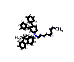 C/C=C\C=C/CC/C=C/N(c1ccc(-c2ccccc2)c(-c2ccccc2)c1)c1ccc2c(c1)C(C)(C)c1ccccc1-2